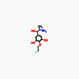 CC(N)C(O)c1cc(O)c(OCCF)c(O)c1